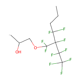 [CH2]C(O)COC(F)(F)C(F)(C(F)(F)CCC)C(F)(F)C(F)(F)F